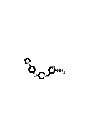 Nc1cc(CN2CCC(Oc3ccc(N4CCCC4)cc3)CC2)ccn1